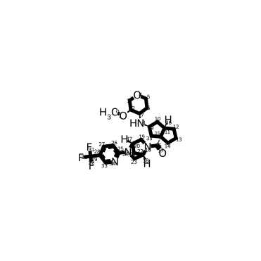 CO[C@@H]1COCC[C@@H]1N[C@@H]1C[C@H]2CCC[C@@]2(C(=O)N2C[C@@H]3C[C@H]2CN3c2ccc(C(F)(F)F)cn2)C1